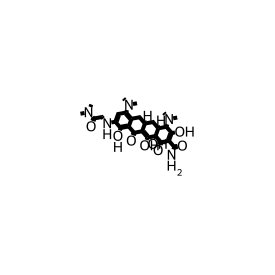 CN(C)C(=O)CNc1cc(N(C)C)c2c(c1O)C(=O)C1=C(O)[C@]3(O)C(=O)C(C(N)=O)=C(O)C(N(C)C)[C@@H]3C[C@@H]1C2